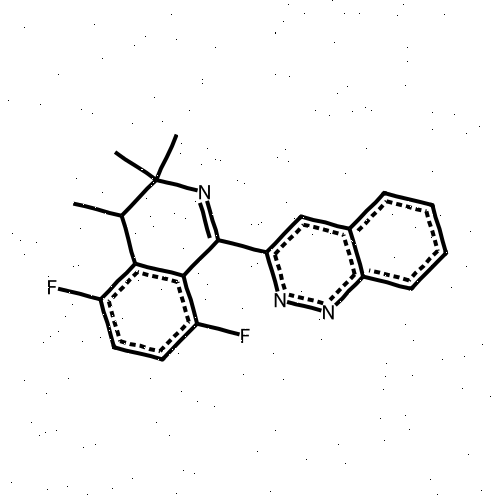 CC1c2c(F)ccc(F)c2C(c2cc3ccccc3nn2)=NC1(C)C